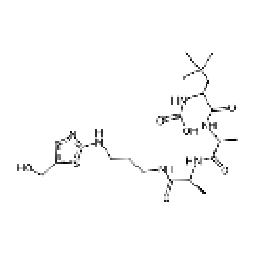 C[C@H](NC(=O)[C@H](C)NC(=O)[C@H](CC(C)(C)C)NC(=O)O)C(=O)NCCCNc1ncc(CO)s1